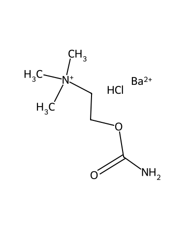 C[N+](C)(C)CCOC(N)=O.Cl.[Ba+2]